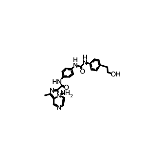 CC1=C2C=NC=C[N+]2(N)C(C(=O)Nc2ccc(NC(=O)Nc3ccc(CCO)cc3)cc2)=N1